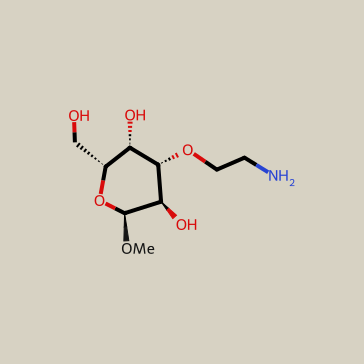 CO[C@H]1O[C@H](CO)[C@H](O)[C@H](OCCN)[C@H]1O